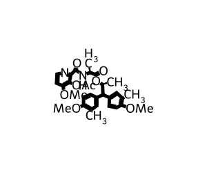 COc1ccc(C(c2ccc(OC)c(C)c2)[C@H](C)OC(=O)[C@H](C)NC(=O)c2nccc(OC)c2OC(C)=O)cc1C